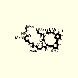 CNCCC[C@@H]1NC(=O)[C@@H](NC)Cc2cc(ccc2O)-c2ccc(C)c(c2)C[C@@H](C(=O)NC[C@H](NC)C(=O)NCCCC[C@H](NC)C(=O)NCCNC)NC1=O